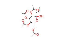 C=CC[C@]1(O)O[C@H](COC(C)=O)[C@@H](OC(C)=O)[C@H](OC(C)=O)[C@H]1OC(C)=O